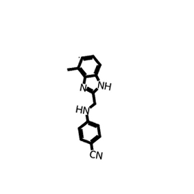 Cc1[c]ccc2[nH]c(CNc3ccc(C#N)cc3)nc12